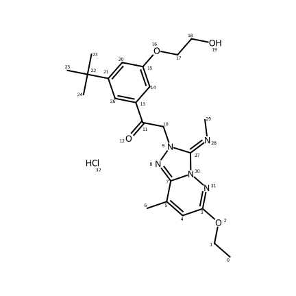 CCOc1cc(C)c2nn(CC(=O)c3cc(OCCO)cc(C(C)(C)C)c3)c(=NC)n2n1.Cl